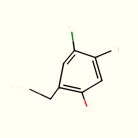 Cc1cc(O)c(CC=O)cc1F